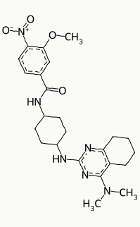 COc1cc(C(=O)NC2CCC(Nc3nc4c(c(N(C)C)n3)CCCC4)CC2)ccc1[N+](=O)[O-]